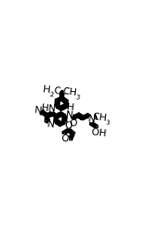 C=C(C)c1cccc(Nc2c(C#N)cnc3cc(OC4CCOC4)c(NC(=O)/C=C/CN(C)CCO)cc23)c1